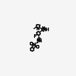 Cc1cccc(-c2n[nH]cc2-c2ccc(F)c(-c3cnn(CCN4C(=O)c5ccccc5C4=O)c3)c2)n1